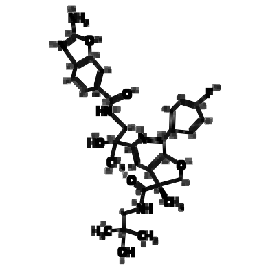 CC(C)(O)CNC(=O)[C@@]1(C)COc2c1cc(C(O)(CNC(=O)c1ccc3nc(N)oc3c1)C(F)(F)F)nc2-c1ccc(F)cc1